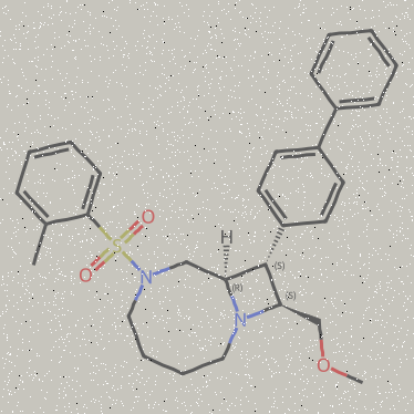 COC[C@@H]1[C@@H](c2ccc(-c3ccccc3)cc2)[C@@H]2CN(S(=O)(=O)c3ccccc3C)CCCCN12